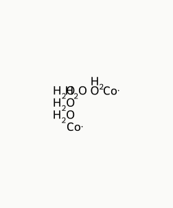 O.O.O.O.O.[Co].[Co]